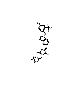 CC1(C)OCC(CN2C(=O)SC(=Cc3ccc4c(cnn4Cc4ccc(Cl)cc4C(F)(F)F)c3)C2=O)O1